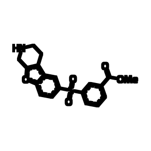 COC(=O)c1cccc(S(=O)(=O)c2ccc3oc4c(c3c2)CCNC4)c1